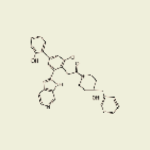 O=C(Cc1c(Cl)cc(-c2ccccc2O)cc1-c1cc2ccncc2[nH]1)N1CCC(O)(Cc2ccccc2)CC1